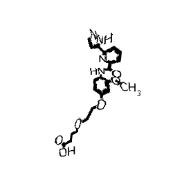 COc1cc(OCCOCCCC(=O)O)ccc1NC(=O)c1cccc(-c2ccn[nH]2)n1